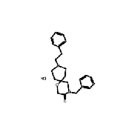 Cl.O=C1COC2(CCN(CCc3ccccc3)CC2)CN1Cc1ccccc1